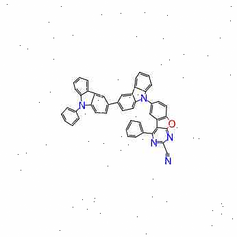 N#Cc1nc(-c2ccccc2)c2c(n1)oc1ccc(-n3c4ccccc4c4cc(-c5ccc6c(c5)c5ccccc5n6-c5ccccc5)ccc43)cc12